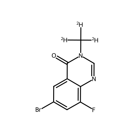 [2H]C([2H])([2H])n1cnc2c(F)cc(Br)cc2c1=O